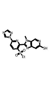 CCS(=O)(=O)c1ccc(-n2cncn2)nc1-c1nc2cc(S)ncc2n1C